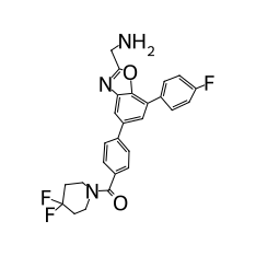 NCc1nc2cc(-c3ccc(C(=O)N4CCC(F)(F)CC4)cc3)cc(-c3ccc(F)cc3)c2o1